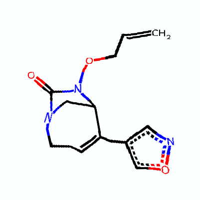 C=CCON1C(=O)N2CC=C(c3cnoc3)C1C2